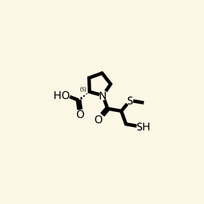 CSC(CS)C(=O)N1CCC[C@H]1C(=O)O